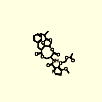 COc1ccnc(C(=O)NC2COC(=O)C(Cc3ccccc3)C(OC(=O)C(C)C)C(C)OC2=O)c1OCOC(C)=O